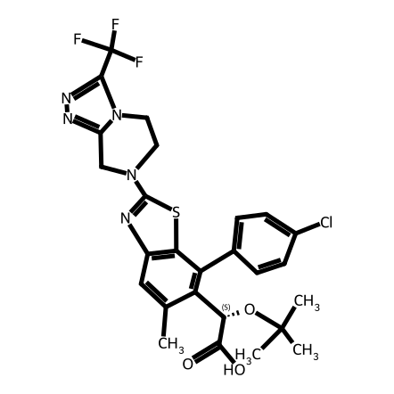 Cc1cc2nc(N3CCn4c(nnc4C(F)(F)F)C3)sc2c(-c2ccc(Cl)cc2)c1[C@H](OC(C)(C)C)C(=O)O